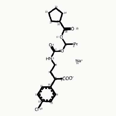 CC(C)C(OC(=O)NCCC(C(=O)[O-])c1ccc(Cl)cc1)OC(=O)C1CCCC1.[Na+]